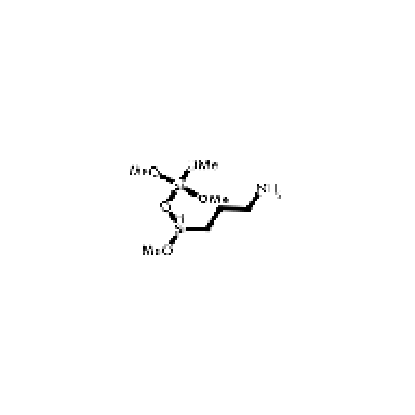 CO[SiH](CCCN)O[Si](OC)(OC)OC